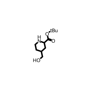 CC(C)(C)OC(=O)C1CC(CO)CCN1